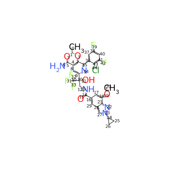 CCOc1c(C(N)=O)cc([C@@](O)(CNC(=O)c2cc(OC)c3nn(C4CC4)cc3c2)C(F)(F)F)nc1-c1cc(F)cc(F)c1Cl